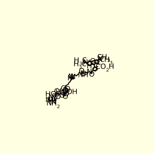 CN(C)c1ccc2c(-c3cc(C(=O)NCCOC(=O)NCCCn4cc(CCCCC(=O)OP(=O)(O)OP(=O)(O)OC[C@H]5O[C@@H](n6cnc7c(N)ncnc76)[C@@H](O)C5O)nn4)ccc3C(=O)O)c3ccc(=[N+](C)C)cc-3oc2c1